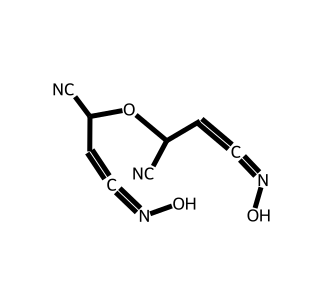 N#CC(C=C=NO)OC(C#N)C=C=NO